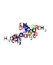 COc1cc(OC)c(Cl)c(-c2cc3cnc([S+](C)[O-])nc3n(CCc3ccc(NC(=O)OC(C)(C)C)c[n+]3[O-])c2=O)c1Cl